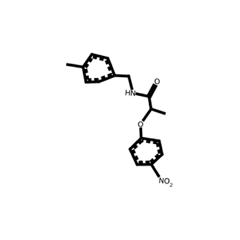 Cc1ccc(CNC(=O)C(C)Oc2ccc([N+](=O)[O-])cc2)cc1